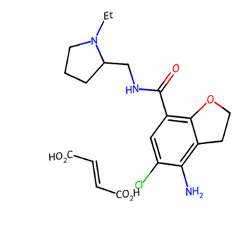 CCN1CCCC1CNC(=O)c1cc(Cl)c(N)c2c1OCC2.O=C(O)/C=C/C(=O)O